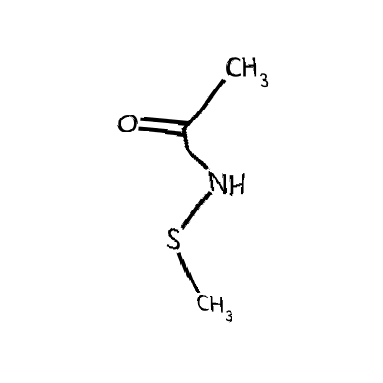 CSNC(C)=O